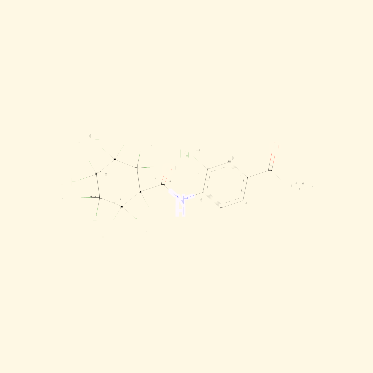 COC(=O)c1ccc(NC(=O)C2(F)C(F)(F)C(F)(F)C(F)(F)C(F)(F)C2(F)F)c(Br)c1